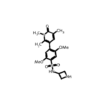 COc1cc(S(=O)(=O)NC2CNC2)c(OC)cc1-c1cc(C)c(=O)n(C)c1C